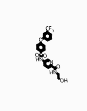 O=C(NCCO)c1ccc(NS(=O)(=O)c2ccc(Oc3cccc(C(F)(F)F)c3)cc2)cn1